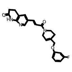 O=C1CCc2cc(C=CC(=O)N3CC=C(COc4cccc(F)c4)CC3)cnc2N1